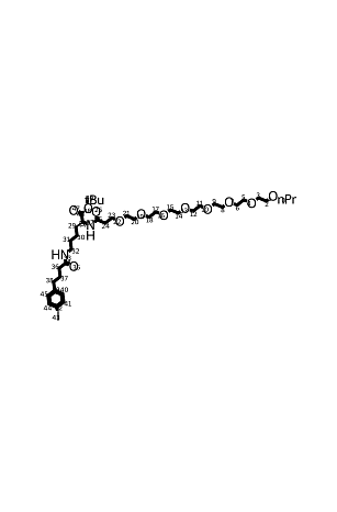 CCCOCCOCCOCCOCCOCCOCCOCCOCCC(=O)N[C@@H](CCCCNC(=O)CCCc1ccc(I)cc1)C(=O)OC(C)(C)C